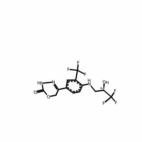 O=C1NN=C(c2ccc(NC[C@@H](O)C(F)(F)F)c(C(F)(F)F)c2)CO1